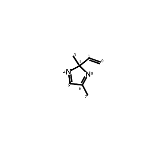 C=CC1(C)N=CC(C)=N1